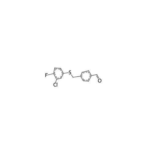 O=Cc1ccc(CSc2ccc(F)c(Cl)c2)cc1